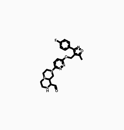 Cc1onc(-c2ccc(F)cc2)c1COc1ccc(N2CCN3CCNC(C=O)C3C2)nn1